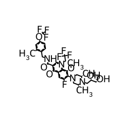 COc1c(N2C[C@@H](C)N(C[C@H](O)CO)[C@@H](C)C2)c(F)cc2c(=O)c(C(=O)NCc3ccc(OC(F)(F)F)cc3C)cn(CC(F)(F)F)c12